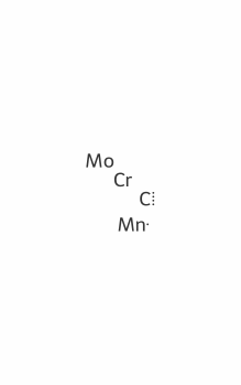 [C].[Cr].[Mn].[Mo]